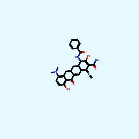 C=C=C1C(C(N)=O)=C(O)C(NC(=O)c2ccccc2)C2CC3Cc4c(N(C)C)ccc(O)c4C(=O)C3=CC12